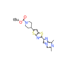 Cc1cn2cc(-c3nc4sc(C5CCN(C(=O)OC(C)(C)C)CC5)cc4s3)nc2c(C)n1